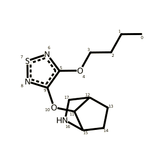 CCCCOc1nsnc1OC1C2CCC1NC2